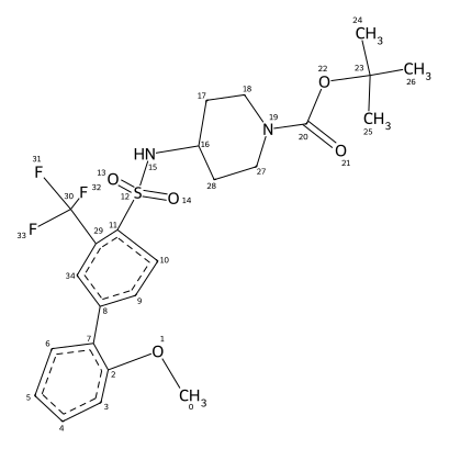 COc1ccccc1-c1ccc(S(=O)(=O)NC2CCN(C(=O)OC(C)(C)C)CC2)c(C(F)(F)F)c1